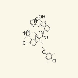 Cc1cc(OCCCc2c3n(c4c(-c5c(C)nn(C)c5C)c(Cl)ccc24)C(C)CN(c2cccc4cc(C(=O)O)n(Cc5ncccn5)c24)C3=O)cc(C)c1Cl